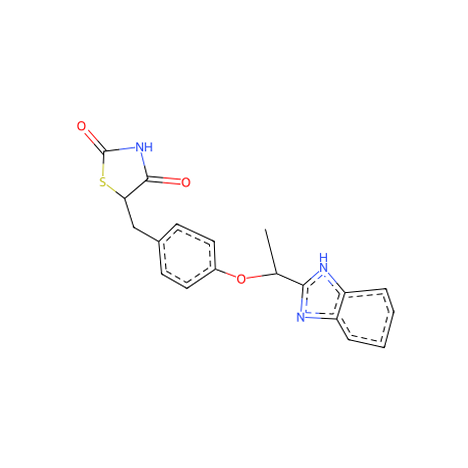 CC(Oc1ccc(CC2SC(=O)NC2=O)cc1)c1nc2ccccc2[nH]1